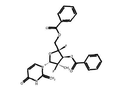 C=C1NC(=O)C=CN1[C@@H]1O[C@](F)(COC(=O)c2ccccc2)[C@@H](OC(=O)c2ccccc2)[C@@]1(C)F